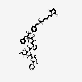 CC[C@H](C)[C@@H]([C@@H](CC(=O)N1CCC[C@H]1[C@H](OC)[C@@H](C)C(=O)N[C@@H](Cc1ccccc1)C(=O)Nc1ccc(CNC(=O)CCCCCN2C(=O)C=CC2=O)cc1)OC)N(C)C(=O)[C@@H](/N=C(\N(C)C)N1CCOCC1)C(C)C